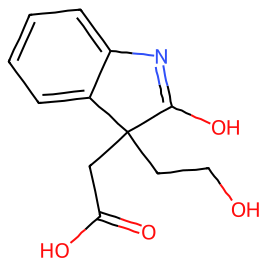 O=C(O)CC1(CCO)C(O)=Nc2ccccc21